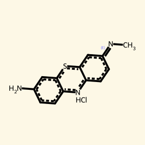 C/N=c1\ccc2nc3ccc(N)cc3sc-2c1.Cl